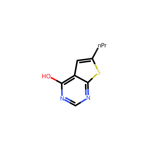 CCCc1cc2c(O)ncnc2s1